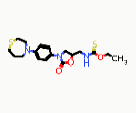 CCOC(=S)NCC1CN(c2ccc(N3CCCSCC3)cc2)C(=O)O1